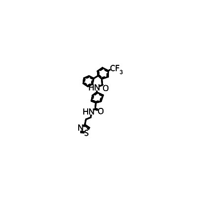 O=C(NCCc1cscn1)c1ccc(NC(=O)c2cc(C(F)(F)F)ccc2-c2ccccc2)cc1